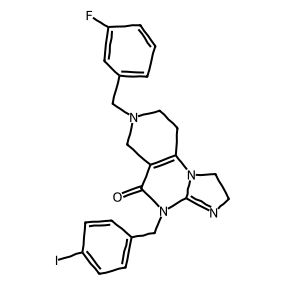 O=C1C2=C(CCN(Cc3cccc(F)c3)C2)N2CCN=C2N1Cc1ccc(I)cc1